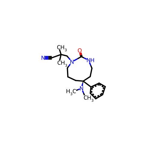 CN(C)[C@@]1(c2ccccc2)CCCN(CC(C)(C)C#N)C(=O)NCC1